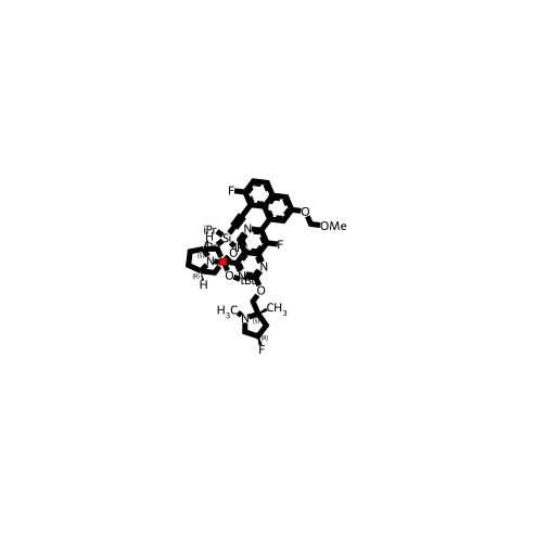 COCOc1cc(-c2ncc3c(N4C[C@H]5CC[C@@H](C4)N5C(=O)OC(C)(C)C)nc(OC[C@]4(C)C[C@@H](F)CN4C)nc3c2F)c2c(C#C[Si](C(C)C)(C(C)C)C(C)C)c(F)ccc2c1